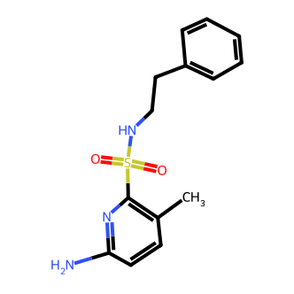 Cc1ccc(N)nc1S(=O)(=O)NCCc1ccccc1